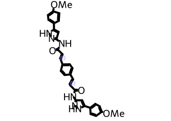 COc1ccc(-c2cc(NC(=O)/C=C/c3ccc(/C=C/C(=O)Nc4cc(-c5ccc(OC)cc5)[nH]n4)cc3)n[nH]2)cc1